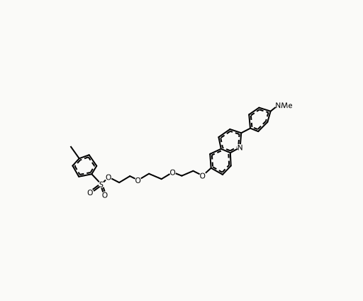 CNc1ccc(-c2ccc3cc(OCCOCCOCCOS(=O)(=O)c4ccc(C)cc4)ccc3n2)cc1